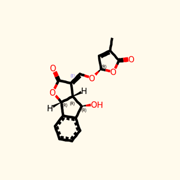 CC1=C[C@H](O/C=C2/C(=O)O[C@H]3c4ccccc4[C@H](O)[C@@H]23)OC1=O